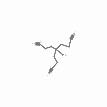 N#CCCC(P)(CCC#N)CCC#N